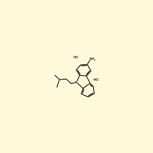 CN(C)CCn1c2ccccc2c2cc(N)ccc21.Cl.Cl